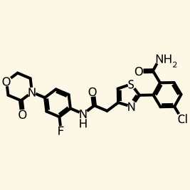 NC(=O)c1ccc(Cl)cc1-c1nc(CC(=O)Nc2ccc(N3CCOCC3=O)cc2F)cs1